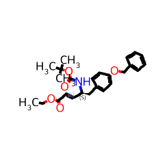 CCOC(=O)/C=C/[C@H](Cc1ccc(OCc2ccccc2)cc1)NC(=O)OC(C)(C)C